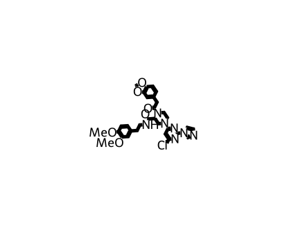 COc1ccc(CCNC(=O)C2CN(c3cc(Cl)nc(-n4ccnc4)n3)CCN2C(=O)Cc2ccc3c(c2)OCO3)cc1OC